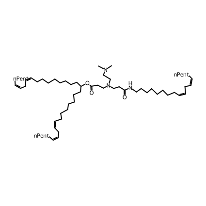 CCCCC/C=C\C/C=C\CCCCCCCCNC(=O)CCN(CCC(=O)OC(CCCCCCC/C=C\C/C=C\CCCCC)CCCCCCCC/C=C\C/C=C\CCCCC)CCN(C)C